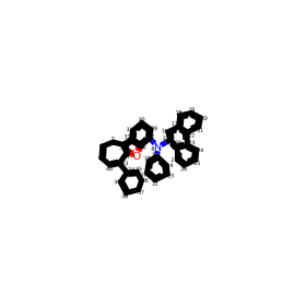 C1=CCc2c(oc3c(N(c4ccccc4)c4cc5ccccc5c5ccccc45)cccc23)C(C2=CCCC=C2)=C1